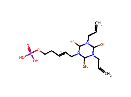 C=CCN1C(S)N(CC=C)C(S)N(C/C=C/CCOP(=O)(O)O)C1S